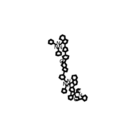 c1ccc(-c2nc(-c3ccccc3)nc(-c3c(-c4ccc(-c5ccc6c(c5)oc5cc7cc(-c8cccc(-c9nc(-c%10ccccc%10)nc(-c%10c(-c%11ccc%12c(c%11)C%11(c%13ccccc%13-%12)c%12ccccc%12-n%12c%13ccccc%13c%13cccc%11c%13%12)ccc%11ccccc%10%11)n9)c8)ccc7cc56)cc4)ccc4ccccc34)n2)cc1